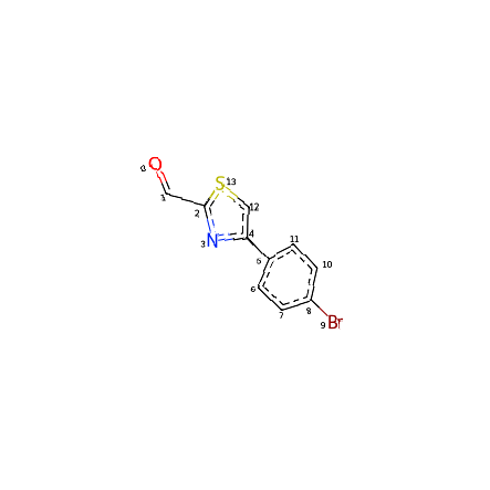 O=Cc1nc(-c2ccc(Br)cc2)cs1